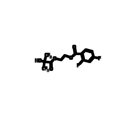 O=C(OCCOC(=O)C(O)(C(F)(F)F)C(F)(F)F)c1ccc(F)cc1F